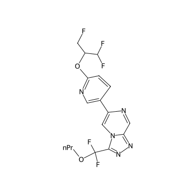 CCCOC(F)(F)c1nnc2cnc(-c3ccc(OC(CF)C(F)F)nc3)cn12